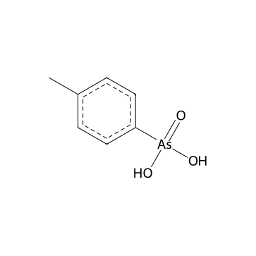 Cc1ccc([As](=O)(O)O)cc1